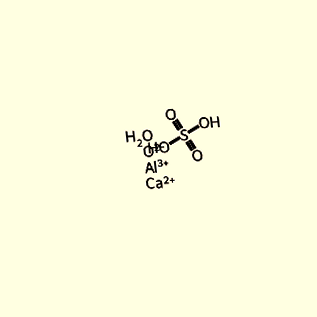 O.O=S(=O)(O)O.[Al+3].[Ca+2].[O-2]